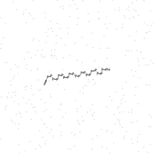 P#C\P=P/P=P\P=P/P=P\P=P/P=P\P=P/P=P\P=P/P=P\P=P